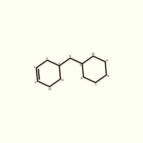 C1=CCC(CC2CCCCC2)CC1